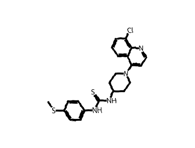 CSc1ccc(NC(=S)NC2CCN(c3ccnc4c(Cl)cccc34)CC2)cc1